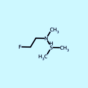 CN(CCF)[SH](C)C